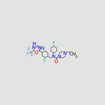 CCN1CCN(C(=O)N(CC2CCC(C(=N)OC(N)C(F)(F)F)CC2F)C2CCC(F)CC2)CC1